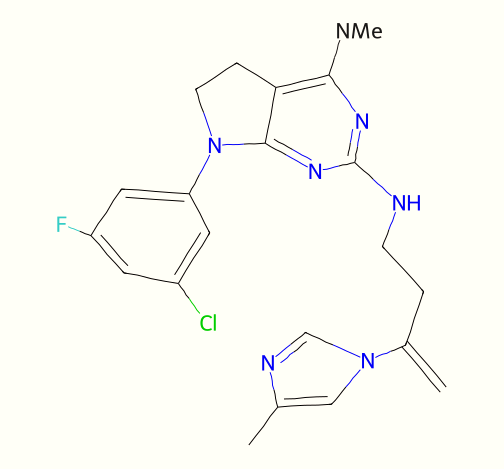 C=C(CCNc1nc(NC)c2c(n1)N(c1cc(F)cc(Cl)c1)CC2)n1cnc(C)c1